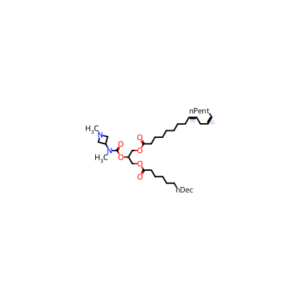 CCCCC/C=C\C/C=C\CCCCCCCC(=O)OCC(COC(=O)CCCCCCCCCCCCCCC)OC(=O)N(C)C1CN(C)C1